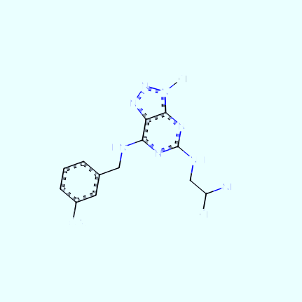 CC(=O)Oc1cccc(CNc2nc(NCC(C)N)nc3c2nnn3C)c1